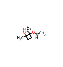 CBOC1(C)CCC1(C)O